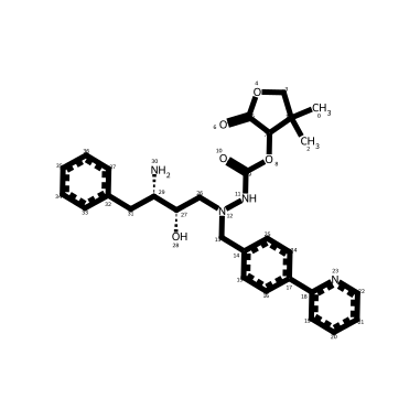 CC1(C)COC(=O)C1OC(=O)NN(Cc1ccc(-c2ccccn2)cc1)C[C@H](O)[C@@H](N)Cc1ccccc1